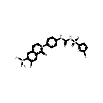 CC(=O)N(C)c1cc2ccn(-c3ccc(NC(=O)NS(=O)(=O)c4ccc(Cl)s4)cc3)c(=O)c2cc1F